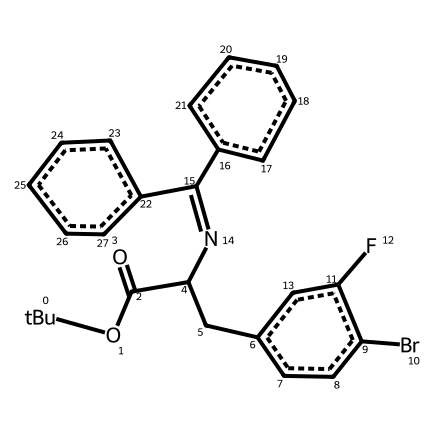 CC(C)(C)OC(=O)C(Cc1ccc(Br)c(F)c1)N=C(c1ccccc1)c1ccccc1